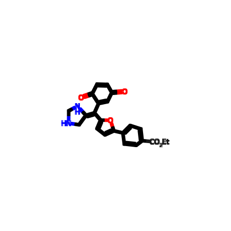 CCOC(=O)c1ccc(-c2ccc(C(C3=CC(=O)C=CC3=O)=C3CNCN3)o2)cc1